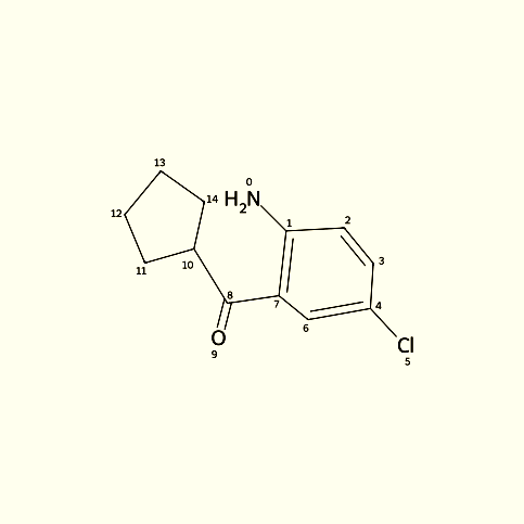 Nc1ccc(Cl)cc1C(=O)C1CCCC1